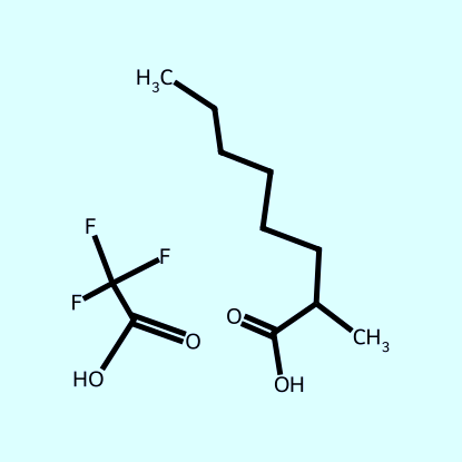 CCCCCCC(C)C(=O)O.O=C(O)C(F)(F)F